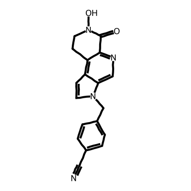 N#Cc1ccc(Cn2ccc3c4c(ncc32)C(=O)N(O)CC4)cc1